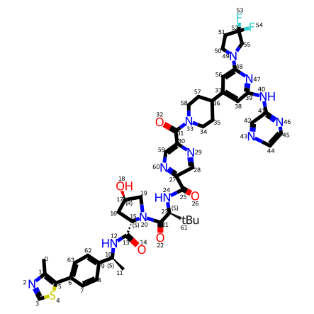 Cc1ncsc1-c1ccc([C@H](C)NC(=O)[C@@H]2C[C@@H](O)CN2C(=O)[C@@H](NC(=O)c2cnc(C(=O)N3CCC(c4cc(Nc5cnccn5)nc(N5CCC(F)(F)C5)c4)CC3)cn2)C(C)(C)C)cc1